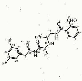 CCCC(CNC(=O)c1ccccc1C=O)N[C@@H](C)C(=O)NC(=O)Cc1cc(F)cc(F)c1